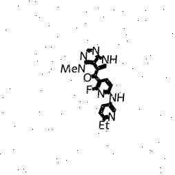 CCc1ccc(Nc2ccc(C(=O)c3c[nH]c4ncnc(NC)c34)c(F)n2)cn1